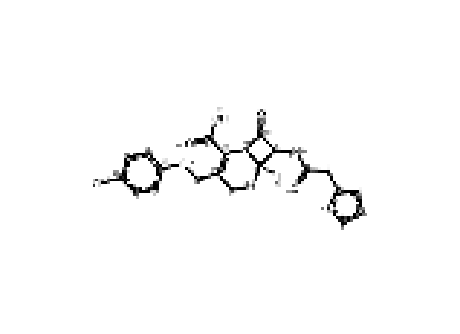 O=C(Cc1cccs1)NC1C(=O)N2C(C(=O)O)=C(CSc3ccc(Cl)cc3)CS[C@@H]12